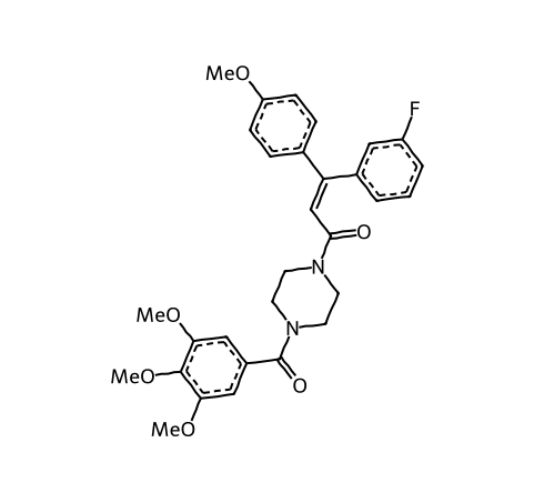 COc1ccc(C(=CC(=O)N2CCN(C(=O)c3cc(OC)c(OC)c(OC)c3)CC2)c2cccc(F)c2)cc1